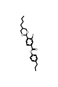 CCCCC1COC(c2ccc(C(=O)Oc3ccc(CCC)cc3)cc2F)OC1